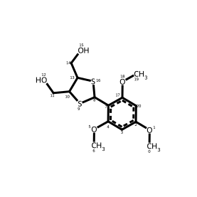 COc1cc(OC)c(C2SC(CO)C(CO)S2)c(OC)c1